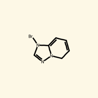 BrN1C=NN2CC=CC=C12